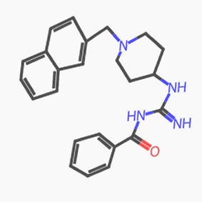 N=C(NC(=O)c1ccccc1)NC1CCN(Cc2ccc3ccccc3c2)CC1